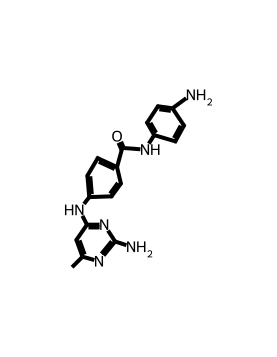 Cc1cc(Nc2ccc(C(=O)Nc3ccc(N)cc3)cc2)nc(N)n1